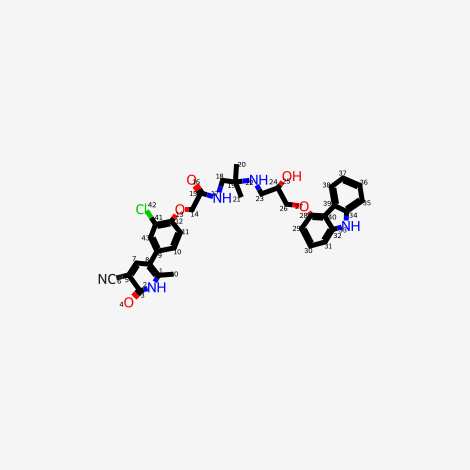 Cc1[nH]c(=O)c(C#N)cc1-c1ccc(OCC(=O)NCC(C)(C)NCC(O)COc2cccc3[nH]c4ccccc4c23)c(Cl)c1